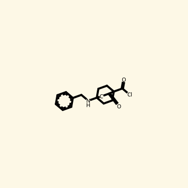 O=C(Cl)C12CCC(NCc3ccccc3)(CC1)CC2=O